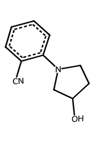 N#Cc1ccccc1N1CCC(O)C1